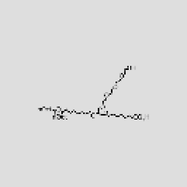 CCCCCCCCC(CCCCCCCC)OC(=O)CCCCCCCOC(COCCCCCCCC(=O)O)COCCOCCOCCOCCO